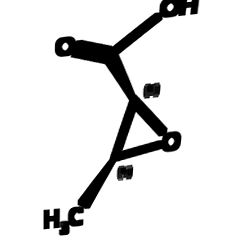 C[C@@H]1O[C@@H]1C(=O)O